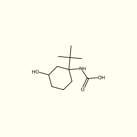 CC(C)(C)C1(NC(=O)O)CCCC(O)C1